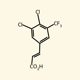 O=C(O)/C=C/c1cc(Cl)c(Cl)c(C(F)(F)F)c1